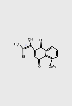 CC/C(C)=C(/O)C1=CC(=O)c2c(OC)cccc2C1=O